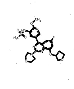 COc1ncc(-c2nc(N3CCOCC3)nc3c(OC4CCOC4)cc(F)cc23)cc1NS(C)(=O)=O